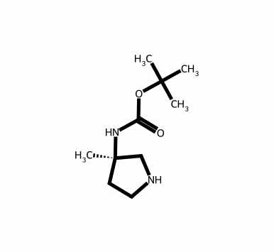 CC(C)(C)OC(=O)N[C@]1(C)CCNC1